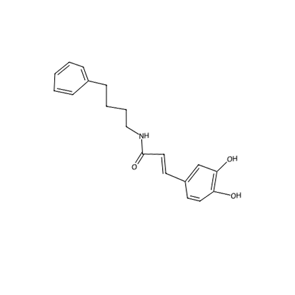 O=C(C=Cc1ccc(O)c(O)c1)NCCCCc1ccccc1